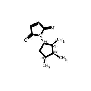 C[C@@H]1[C@H](C)[C@@H](N2C(=O)C=CC2=O)C[C@@H]1C